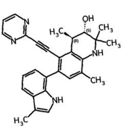 Cc1cc(-c2cccc3c(C)c[nH]c23)c(C#Cc2ncccn2)c2c1NC(C)(C)[C@@H](O)[C@@H]2C